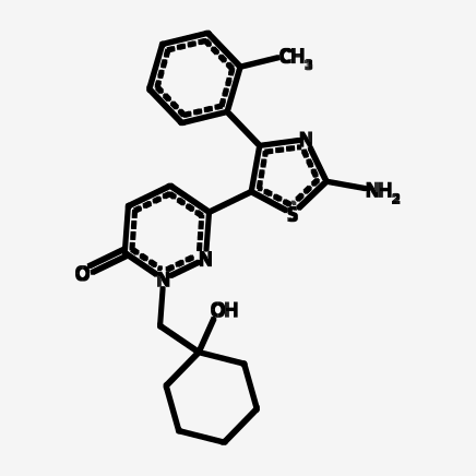 Cc1ccccc1-c1nc(N)sc1-c1ccc(=O)n(CC2(O)CCCCC2)n1